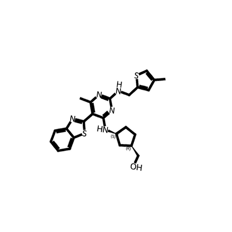 Cc1csc(CNc2nc(C)c(-c3nc4ccccc4s3)c(N[C@H]3CC[C@@H](CO)C3)n2)c1